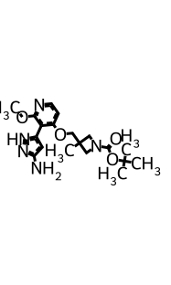 COc1nccc(OCC2(C)CN(C(=O)OC(C)(C)C)C2)c1-c1cc(N)n[nH]1